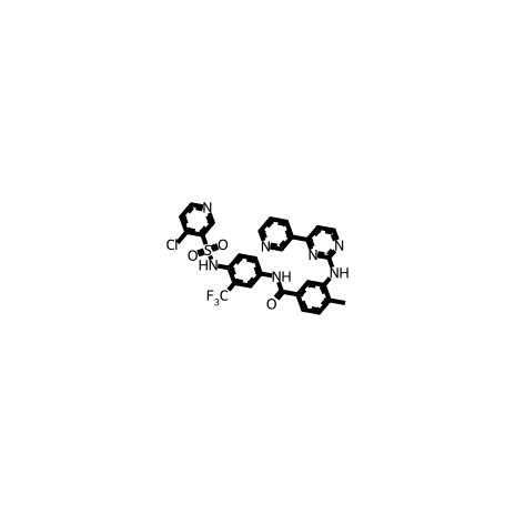 Cc1ccc(C(=O)Nc2ccc(NS(=O)(=O)c3cnccc3Cl)c(C(F)(F)F)c2)cc1Nc1nccc(-c2cccnc2)n1